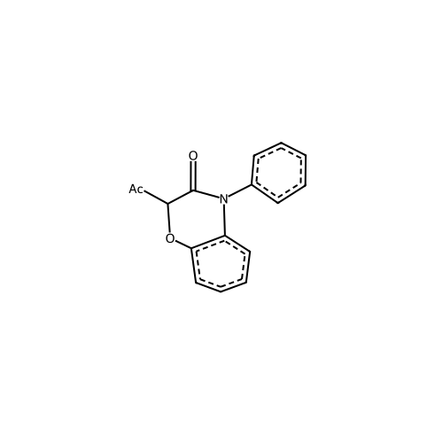 CC(=O)C1Oc2ccccc2N(c2ccccc2)C1=O